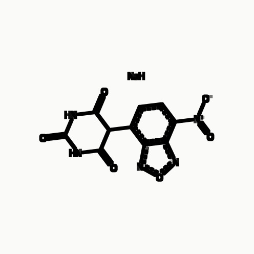 O=C1NC(=O)C(c2ccc([N+](=O)[O-])c3nonc23)C(=O)N1.[NaH]